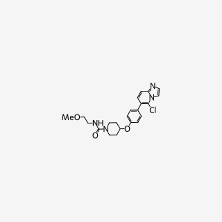 COCCNC(=O)N1CCC(Oc2ccc(-c3ccc4nccn4c3Cl)cc2)CC1